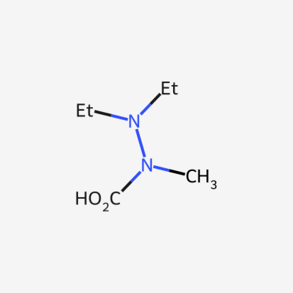 CCN(CC)N(C)C(=O)O